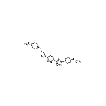 COc1ccc(-c2noc(-c3ccc(NCCCN4CCN(C)CC4)nn3)n2)cc1